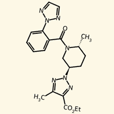 CCOC(=O)c1nn([C@@H]2CC[C@@H](C)N(C(=O)c3ccccc3-n3nccn3)C2)nc1C